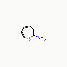 NC1=CC=CC=CS1